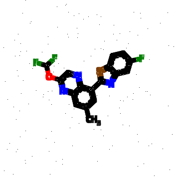 Cc1cc(-c2nc3cc(F)ccc3s2)c2ncc(OC(F)F)nc2c1